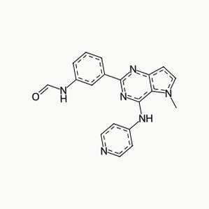 Cn1ccc2nc(-c3cccc(NC=O)c3)nc(Nc3ccncc3)c21